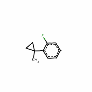 CC1(c2cc[c]cc2F)CC1